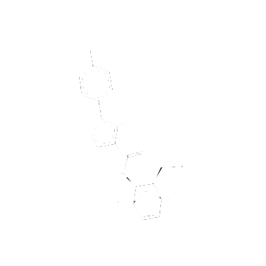 O=C(N[C@H]1[C@@H](CO)[C@H]2C=C[C@@H]1C2)c1noc(-c2ccc(C(F)(F)F)cc2)c1Cl